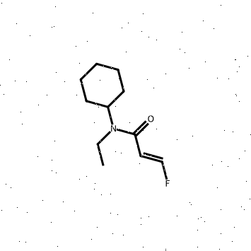 CCN(C(=O)C=CF)C1CCCCC1